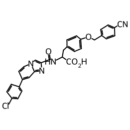 N#Cc1ccc(COc2ccc(CC(NC(=O)c3cn4ccc(-c5ccc(Cl)cc5)cc4n3)C(=O)O)cc2)cc1